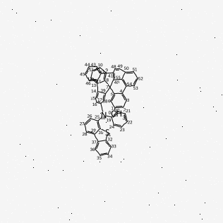 Cc1ccc2c(c1)C1(c3ccccc3-c3ccc(N(c4ccccc4)c4cccc5c4sc4ccccc45)cc31)c1c(-c3ccccc3)ccc3cccc-2c13